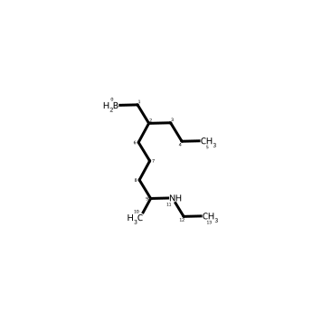 BCC(CCC)CCCC(C)NCC